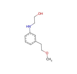 COCCc1cccc(NCCO)c1